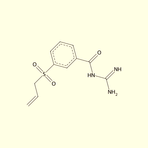 C=CCS(=O)(=O)c1cccc(C(=O)NC(=N)N)c1